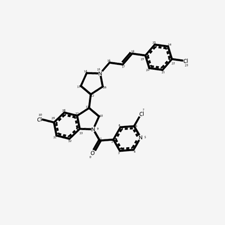 O=C(c1ccnc(Cl)c1)N1CC(C2CCN(C/C=C/c3ccc(Cl)cc3)C2)c2cc(Cl)ccc21